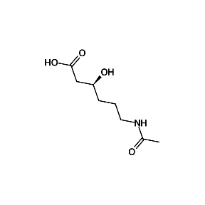 CC(=O)NCCC[C@H](O)CC(=O)O